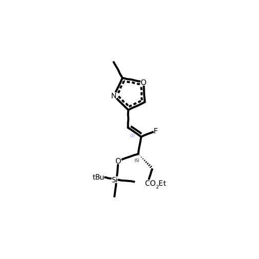 CCOC(=O)C[C@H](O[Si](C)(C)C(C)(C)C)/C(F)=C/c1coc(C)n1